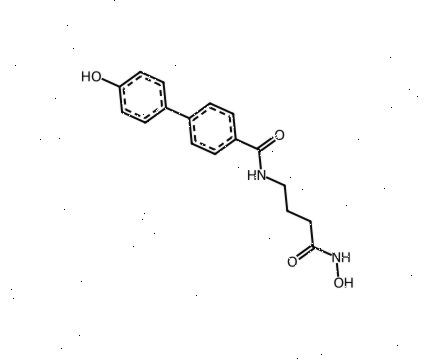 O=C(CCCNC(=O)c1ccc(-c2ccc(O)cc2)cc1)NO